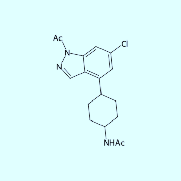 CC(=O)NC1CCC(c2cc(Cl)cc3c2cnn3C(C)=O)CC1